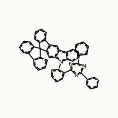 c1ccc(-c2nc(-c3ccccc3)nc(-c3ccccc3-n3c4ccccc4c4cc5c(cc43)C3(c4ccccc4-c4ccccc43)c3ccccc3-5)n2)cc1